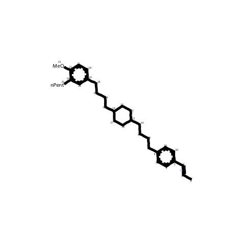 C/C=C/c1ccc(CCCCC2CCC(CCCCc3ccc(OC)c(CCCCC)c3)CC2)cc1